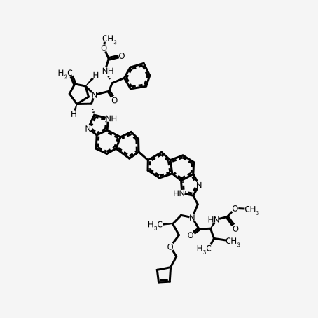 C=C1C[C@@H]2C[C@H]1N(C(=O)[C@H](NC(=O)OC)c1ccccc1)[C@@H]2c1nc2ccc3cc(-c4ccc5c(ccc6nc(CN(C[C@H](C)COCC7C=CC7)C(=O)[C@@H](NC(=O)OC)C(C)C)[nH]c65)c4)ccc3c2[nH]1